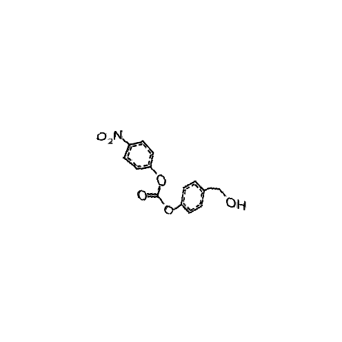 O=C(Oc1ccc(CO)cc1)Oc1ccc([N+](=O)[O-])cc1